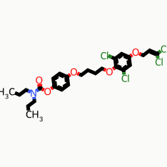 CCCN(CCC)C(=O)Oc1ccc(OCCCCOc2c(Cl)cc(OCC=C(Cl)Cl)cc2Cl)cc1